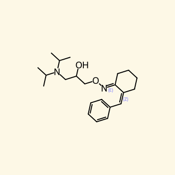 CC(C)N(CC(O)CO/N=C1\CCCC\C1=C\c1ccccc1)C(C)C